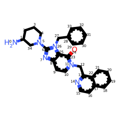 NC1CCCN(c2nc3ccn(Cc4nccc5ccccc45)c(=O)c3n2Cc2ccccc2)C1